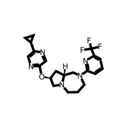 FC(F)(F)c1cccc(N2CCCN3C[C@@H](Oc4cnc(C5CC5)cn4)C[C@@H]3C2)n1